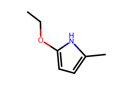 CCOc1ccc(C)[nH]1